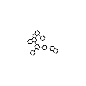 c1ccc(-c2nc(-c3ccc(-c4ccc5ccccc5c4)cc3)cc(-c3cc4c(oc5cccc(-c6ccccc6)c54)c4ccccc34)n2)cc1